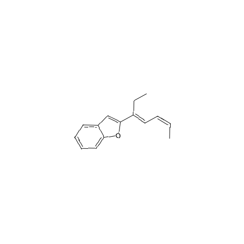 C/C=C\C=C(/CC)c1cc2ccccc2o1